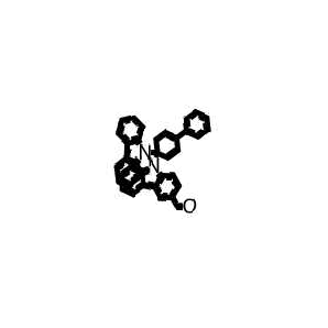 O=Cc1ccc2c(c1)c1ccccc1n2C1(n2c3ccccc3c3ccccc32)C=CC(c2ccccc2)=CC1